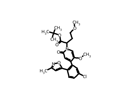 COCCC(C(=O)OC(C)(C)C)n1cc(OC)c(-c2cc(Cl)ccc2-c2cc(C)no2)cc1=O